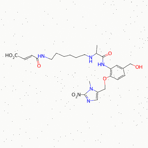 CC(NCCCCCCNC(=O)C=CC(=O)O)C(=O)Nc1cc(CO)ccc1OCc1cnc([N+](=O)[O-])n1C